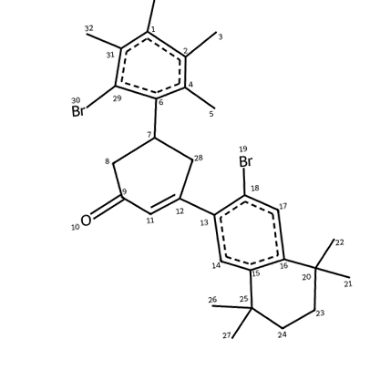 Cc1c(C)c(C)c(C2CC(=O)C=C(c3cc4c(cc3Br)C(C)(C)CCC4(C)C)C2)c(Br)c1C